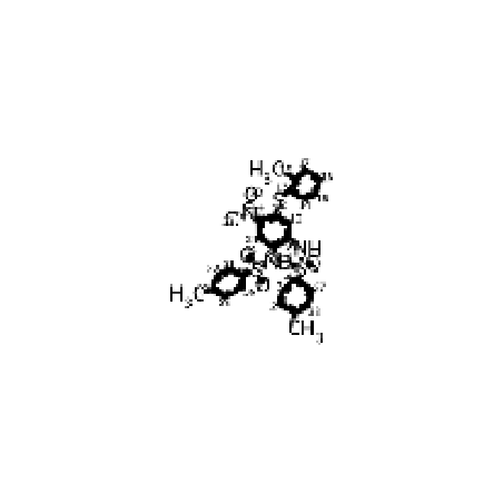 Cc1ccc(S(=O)(=O)Nc2cc(Sc3ccccc3C)c([N+](=O)[O-])cc2NS(=O)(=O)c2ccc(C)cc2)cc1